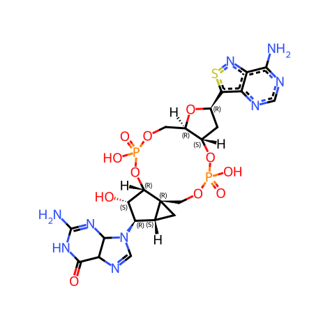 NC1=NC2C(N=CN2[C@H]2[C@H](O)[C@@H]3OP(=O)(O)OC[C@H]4O[C@@H](c5snc6c(N)ncnc56)C[C@@H]4OP(=O)(O)OC[C@]34C[C@H]24)C(=O)N1